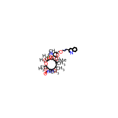 CC[C@H]1OC(=O)[C@@](C)(F)C(=O)[C@H](C)[C@@H](O[C@@H]2O[C@H](COC/C=C/c3cnc4ccccc4c3)CC(N(C)C)C2O)[C@](C)(OC)C[C@@H](C)C(=O)[C@H](C)[C@H]2NC(=O)O[C@@]21C